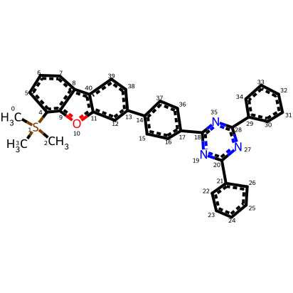 CS(C)(C)c1cccc2c1oc1cc(-c3ccc(-c4nc(-c5ccccc5)nc(-c5ccccc5)n4)cc3)ccc12